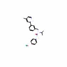 Cc1ccnc(-c2cccc(CN(C(=O)Nc3ccc(OC(F)(F)F)cc3)C(C)C)c2)c1